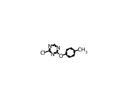 Cc1ccc(Oc2n[c]nc(Cl)n2)cc1